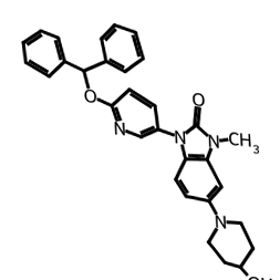 Cn1c(=O)n(-c2ccc(OC(c3ccccc3)c3ccccc3)nc2)c2ccc(N3CCC(O)CC3)cc21